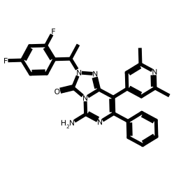 Cc1cc(-c2c(-c3ccccc3)nc(N)n3c(=O)n(C(C)c4ccc(F)cc4F)nc23)cc(C)n1